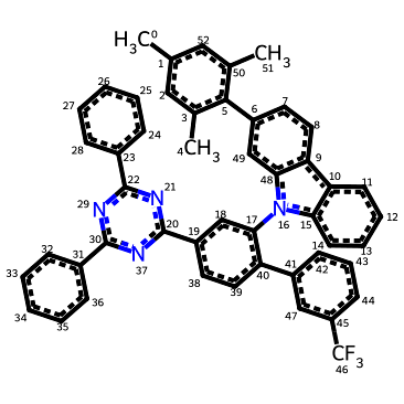 Cc1cc(C)c(-c2ccc3c4ccccc4n(-c4cc(-c5nc(-c6ccccc6)nc(-c6ccccc6)n5)ccc4-c4cccc(C(F)(F)F)c4)c3c2)c(C)c1